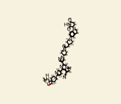 CCC1(C(=O)NC(C)C)CCN(c2ccc(-c3nc(-c4cnn(C5CCN(C(=O)CC6CCN(c7ccc8c(c7)CCN8C7CCC(=O)NC7=O)CC6)CC5)c4)cn4ncc(C#N)c34)cn2)CC1